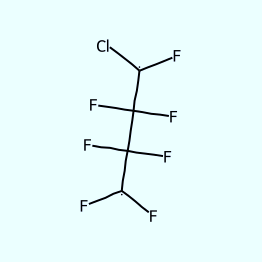 F[C](F)C(F)(F)C(F)(F)[C](F)Cl